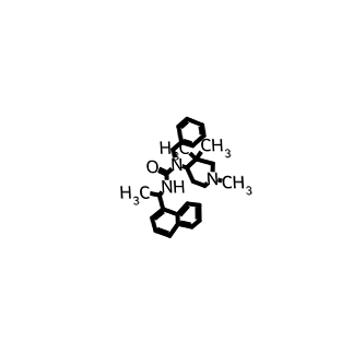 CC(NC(=O)N(Cc1ccccc1)C1CCN(C)CC1(C)C)c1cccc2ccccc12